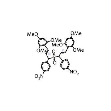 COc1cc(OC)c(/C=C/C(c2ccc([N+](=O)[O-])cc2)S(=O)(=O)C(/C=C/c2c(OC)cc(OC)cc2OC)c2ccc([N+](=O)[O-])cc2)c(OC)c1